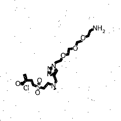 C=C(CCS(=O)(=O)CCN(C)Cc1cn(CCOCCOCCOCCN)nn1)C(=O)Cl